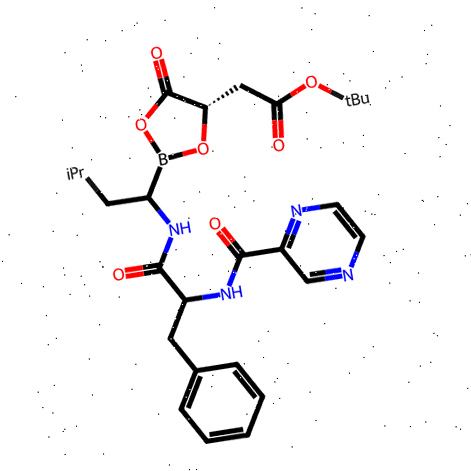 CC(C)CC(NC(=O)C(Cc1ccccc1)NC(=O)c1cnccn1)B1OC(=O)[C@H](CC(=O)OC(C)(C)C)O1